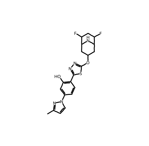 Cc1ccn(-c2ccc(-c3nnc(OC4CC5NC(C4)C(F)CC5F)s3)c(O)c2)n1